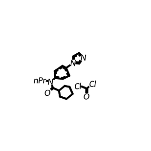 CCCN(C(=O)C1CCCCC1)c1ccc(-n2ccnc2)cc1.O=C(Cl)Cl